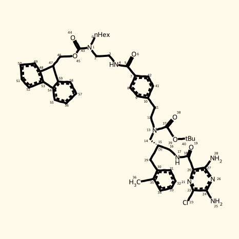 CCCCCCN(CCNC(=O)c1ccc(CCN(C[C@H](CNC(=O)c2nc(Cl)c(N)nc2N)Cc2ccccc2C)C(=O)OC(C)(C)C)cc1)C(=O)OCC1c2ccccc2-c2ccccc21